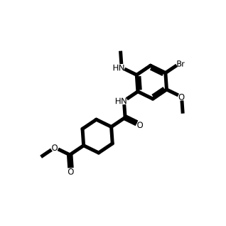 CNc1cc(Br)c(OC)cc1NC(=O)C1CCC(C(=O)OC)CC1